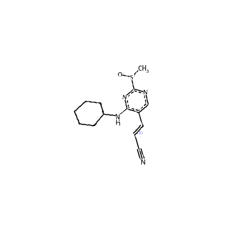 C[S+]([O-])c1ncc(/C=C/C#N)c(NC2CCCCC2)n1